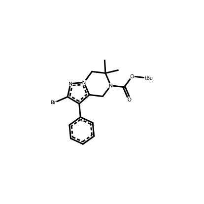 CC(C)(C)OC(=O)N1Cc2c(-c3ccccc3)c(Br)nn2CC1(C)C